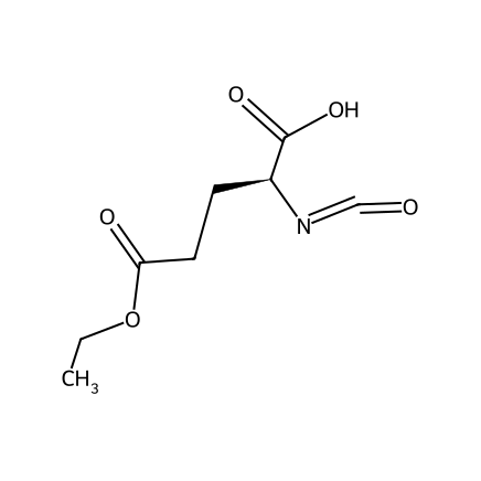 CCOC(=O)CC[C@H](N=C=O)C(=O)O